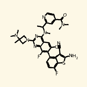 CC(c1cc(C(=O)N(C)C)ccn1)N(C)c1nc(N2CC(C)(N(C)C)C2)nc2c(F)c(-c3ccc(F)c4sc(N)c(C#N)c34)c(Cl)cc12